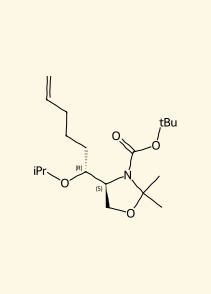 C=CCCC[C@@H](OC(C)C)[C@@H]1COC(C)(C)N1C(=O)OC(C)(C)C